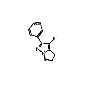 Brc1c(-c2ccccn2)nn2c1CCC2